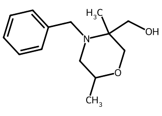 CC1CN(Cc2ccccc2)C(C)(CO)CO1